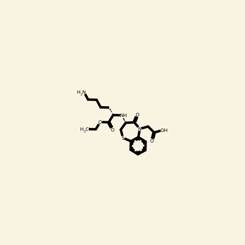 CCOC(=O)[C@H](CCCCN)N[C@H]1CSc2ccccc2N(CC(=O)O)C1=O